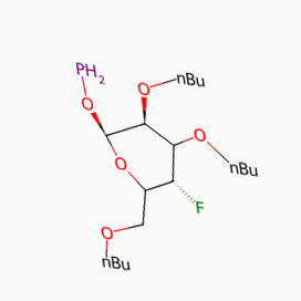 CCCCOCC1O[C@@H](OP)[C@@H](OCCCC)C(OCCCC)[C@@H]1F